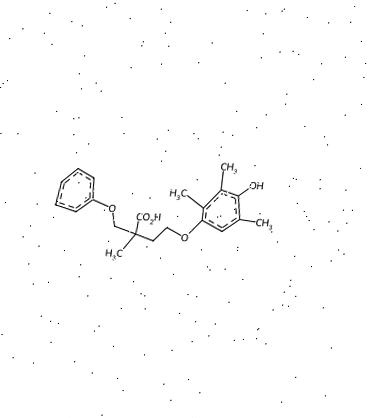 Cc1cc(OCCC(C)(COc2ccccc2)C(=O)O)c(C)c(C)c1O